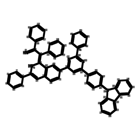 N=C(/C(=C1\NC(c2ccccc2)=Cc2ccc(-c3cc(-c4ccc(-n5c6ccccc6c6ccccc65)cc4)nc(-c4ccccc4)n3)cc21)c1ccccc1)c1ccccc1